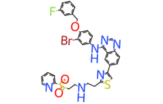 O=S(=O)(CCNCCc1nc(-c2ccc3ncnc(Nc4ccc(OCc5cccc(F)c5)c(Br)c4)c3c2)cs1)c1ccccn1